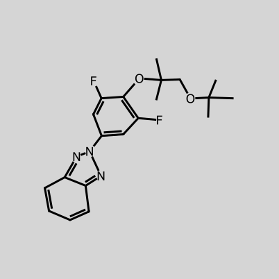 CC(C)(C)OCC(C)(C)Oc1c(F)cc(-n2nc3ccccc3n2)cc1F